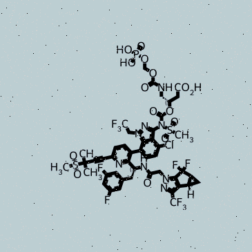 CC(C)(C#Cc1ccc(-c2ccc(Cl)c3c(N(C(=O)O[C@H](CNC(=O)OCOP(=O)(O)O)CC(=O)O)S(C)(=O)=O)nn(CC(F)(F)F)c23)c([C@H](Cc2cc(F)cc(F)c2)NC(=O)Cn2nc(C(F)(F)F)c3c2C(F)(F)C2C[C@H]32)n1)S(C)(=O)=O